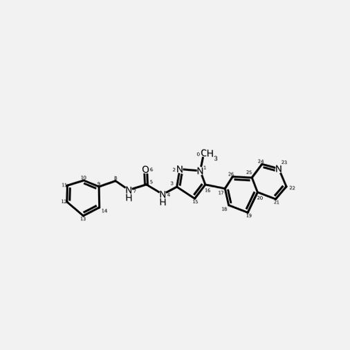 Cn1nc(NC(=O)NCc2ccccc2)cc1-c1ccc2ccncc2c1